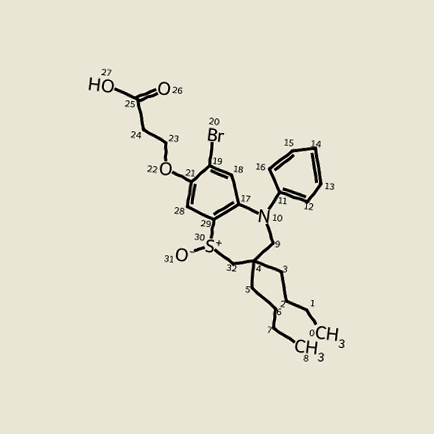 CCCCC1(CCCC)CN(c2ccccc2)c2cc(Br)c(OCCC(=O)O)cc2[S+]([O-])C1